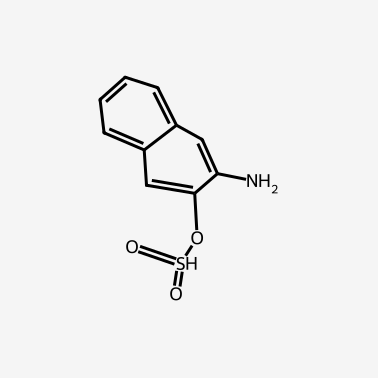 Nc1cc2ccccc2cc1O[SH](=O)=O